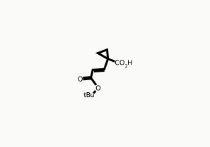 CC(C)(C)OC(=O)C=CC1(C(=O)O)CC1